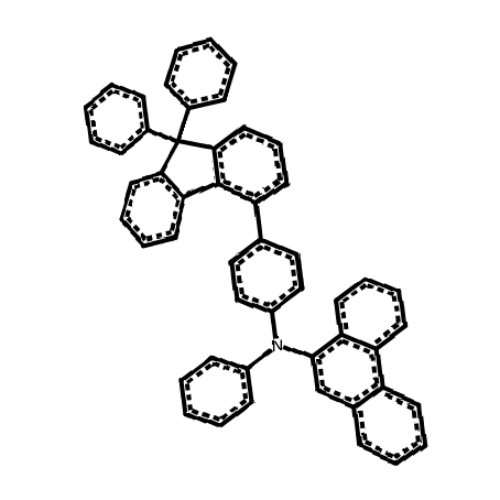 c1ccc(N(c2ccc(-c3cccc4c3-c3ccccc3C4(c3ccccc3)c3ccccc3)cc2)c2cc3ccccc3c3ccccc23)cc1